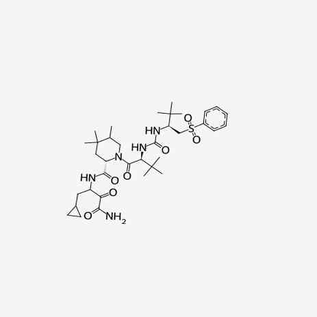 CC1CN(C(=O)[C@@H](NC(=O)N[C@H](CS(=O)(=O)c2ccccc2)C(C)(C)C)C(C)(C)C)[C@H](C(=O)NC(CC2CC2)C(=O)C(N)=O)CC1(C)C